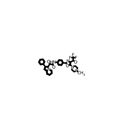 CN1CCN(c2oc(-c3ccc(NC(=O)C(=O)c4c(-c5ccccc5)cc5ccccn45)cc3)nc2C(=O)C(F)(F)F)CC1